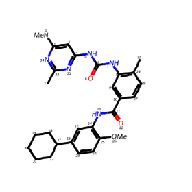 CNc1cc(NC(=O)Nc2cc(C(=O)Nc3cc(C4CCCCC4)ccc3OC)ccc2C)nc(C)n1